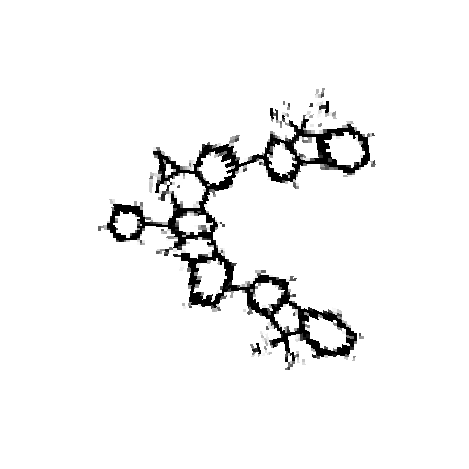 Cc1c(-c2cc(-c3ccc4c(c3)C(C)(C)c3ccccc3-4)ccc2C2CC2)cc2c(oc3ccc(-c4ccc5c(c4)C(C)(C)c4ccccc4-5)cc32)c1-c1ccccc1